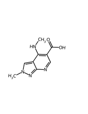 CNc1c(C(=O)O)cnc2nn(C)cc12